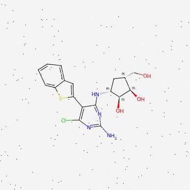 Nc1nc(Cl)c(-c2cc3ccccc3s2)c(N[C@@H]2C[C@H](CO)[C@@H](O)[C@H]2O)n1